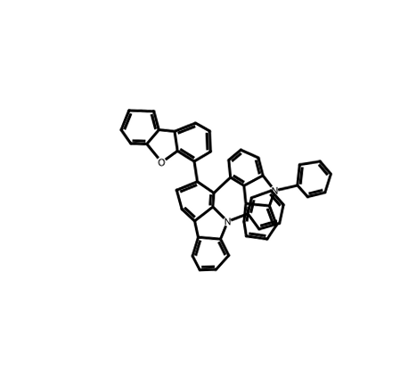 c1ccc(-n2c3ccccc3c3c(-c4c(-c5cccc6c5oc5ccccc56)ccc5c6ccccc6n(-c6ccccc6)c45)cccc32)cc1